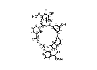 CCn1c(-c2cnccc2COC)c2c3cc(ccc31)-c1cc(O)cc(c1)C[C@H](NC(=O)[C@H](C(C)C)N(C)C(=O)CO)C(=O)N1CCC[C@H](N1)C(=O)OCC(C)(C)C2